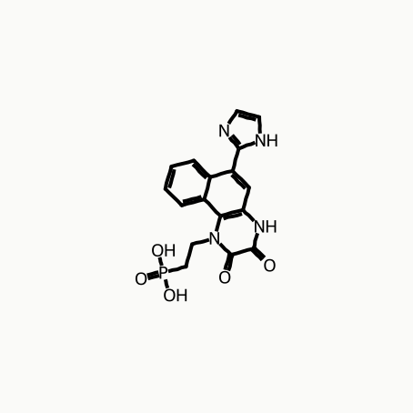 O=c1[nH]c2cc(-c3ncc[nH]3)c3ccccc3c2n(CCP(=O)(O)O)c1=O